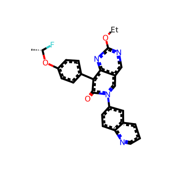 CCOc1ncc2cn(-c3ccc4ncccc4c3)c(=O)c(-c3ccc(O[C@H](C)F)cc3)c2n1